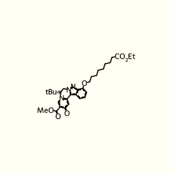 CCOC(=O)CCCCCCCCOc1cccc2c3n(nc12)C[C@@H](C(C)(C)C)n1cc(C(=O)OC)c(=O)cc1-3